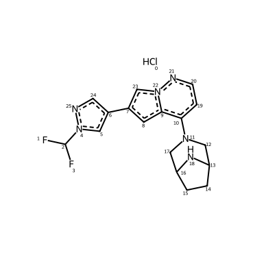 Cl.FC(F)n1cc(-c2cc3c(N4CC5CCC(C4)N5)ccnn3c2)cn1